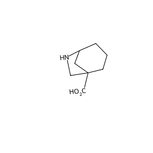 O=C(O)C12CCCC(C1)NC2